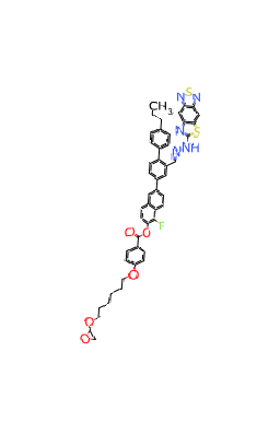 CCCc1ccc(-c2ccc(-c3ccc4c(F)c(OC(=O)c5ccc(OCCCCCCOC6CO6)cc5)ccc4c3)cc2/C=N/Nc2nc3cc4nsnc4cc3s2)cc1